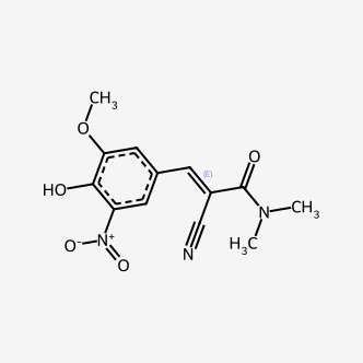 COc1cc(/C=C(\C#N)C(=O)N(C)C)cc([N+](=O)[O-])c1O